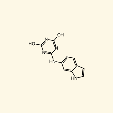 Oc1nc(O)nc(Nc2ccc3cc[nH]c3c2)n1